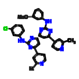 CCc1cc(-c2ccnc(Nc3cccc(Cl)c3)n2)ccn1.COc1cccc(Nc2nccc(-c3ccnc(C)c3)n2)c1